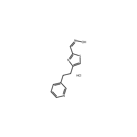 Cl.O/N=C\c1nc(CCc2cccnc2)cs1